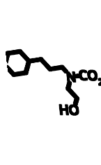 O=C(O)N(CCO)CCCC1CCCCC1